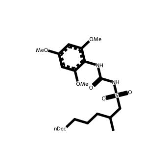 CCCCCCCCCCCCCC(C)CS(=O)(=O)NC(=O)Nc1c(OC)cc(OC)cc1OC